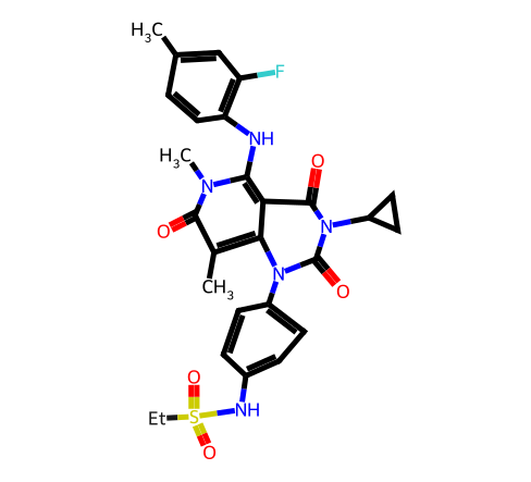 CCS(=O)(=O)Nc1ccc(-n2c(=O)n(C3CC3)c(=O)c3c(Nc4ccc(C)cc4F)n(C)c(=O)c(C)c32)cc1